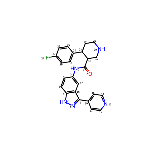 O=C(Nc1ccc2[nH]nc(-c3ccncc3)c2c1)C1CNCCC1c1ccc(F)cc1